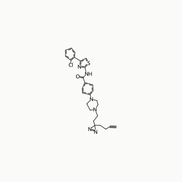 C#CCCC1(CCN2CCN(c3ccc(C(=O)Nc4nc(-c5ccccc5Cl)cs4)cc3)CC2)N=N1